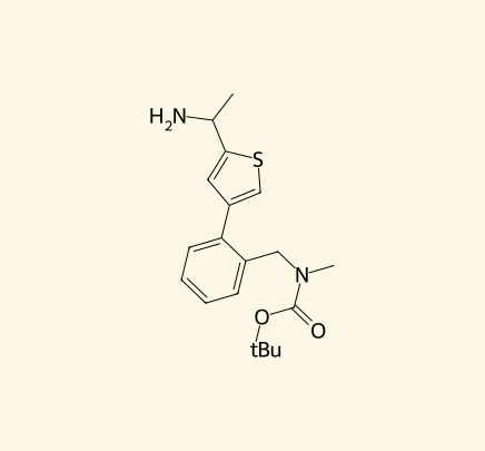 CC(N)c1cc(-c2ccccc2CN(C)C(=O)OC(C)(C)C)cs1